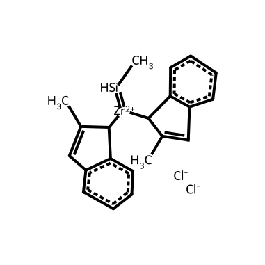 C[SiH]=[Zr+2]([CH]1C(C)=Cc2ccccc21)[CH]1C(C)=Cc2ccccc21.[Cl-].[Cl-]